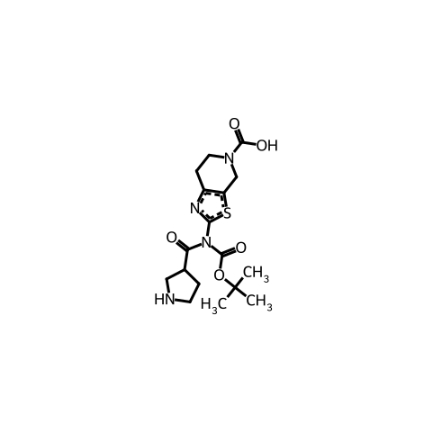 CC(C)(C)OC(=O)N(C(=O)C1CCNC1)c1nc2c(s1)CN(C(=O)O)CC2